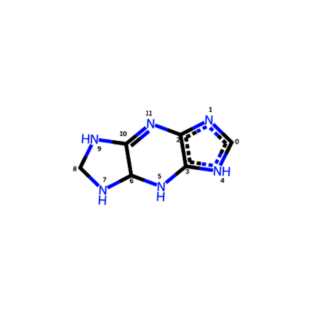 c1nc2c([nH]1)NC1NCNC1=N2